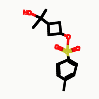 Cc1ccc(S(=O)(=O)OC2CC(C(C)(C)O)C2)cc1